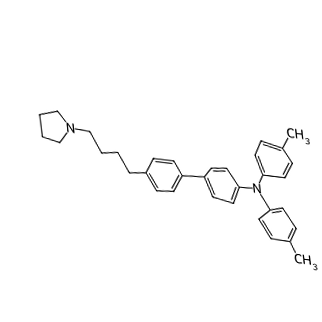 Cc1ccc(N(c2ccc(C)cc2)c2ccc(-c3ccc(CCCCN4CCCC4)cc3)cc2)cc1